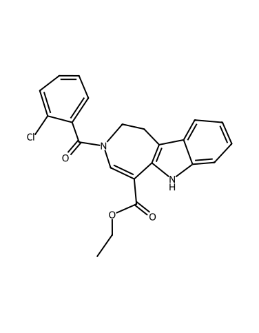 CCOC(=O)C1=CN(C(=O)c2ccccc2Cl)CCc2c1[nH]c1ccccc21